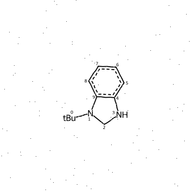 CC(C)(C)N1CNc2ccccc21